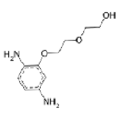 Nc1ccc(N)c(OCCOCCO)c1